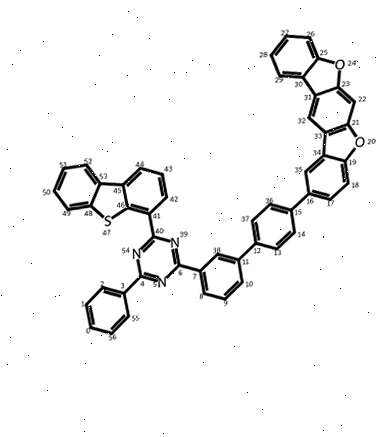 c1ccc(-c2nc(-c3cccc(-c4ccc(-c5ccc6oc7cc8oc9ccccc9c8cc7c6c5)cc4)c3)nc(-c3cccc4c3sc3ccccc34)n2)cc1